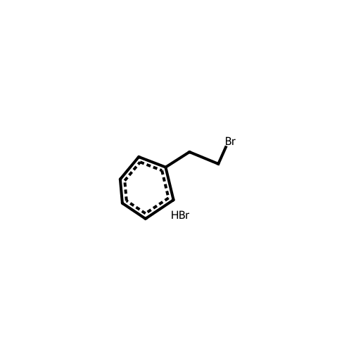 Br.BrCCc1ccccc1